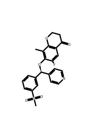 Cc1c(O[C@@H](c2ccncc2)c2cccc(S(C)(=O)=O)c2)c(F)cc2c1OCCC2=O